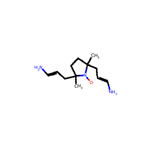 CC1(CC=CN)CCC(C)(CC=CN)N1[O]